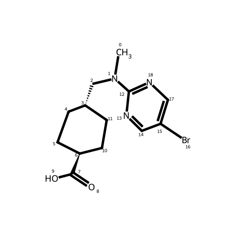 CN(C[C@H]1CC[C@H](C(=O)O)CC1)c1ncc(Br)cn1